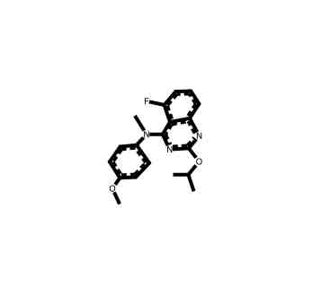 COc1ccc(N(C)c2nc(OC(C)C)nc3cccc(F)c23)cc1